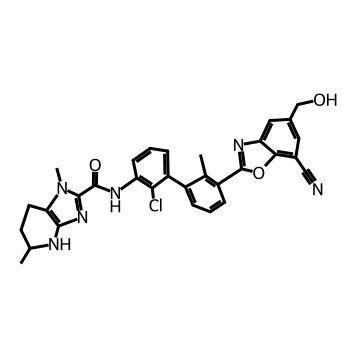 Cc1c(-c2nc3cc(CO)cc(C#N)c3o2)cccc1-c1cccc(NC(=O)c2nc3c(n2C)CCC(C)N3)c1Cl